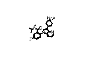 CNC1CCC(c2cn(-c3ccc(F)cc3C(=O)N(C)C(C)C)c3cccnc23)CC1